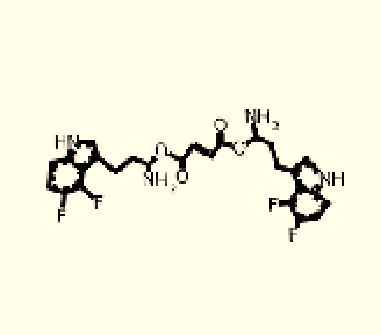 NC(CCc1c[nH]c2ccc(F)c(F)c12)OC(=O)/C=C/C(=O)OC(N)CCc1c[nH]c2ccc(F)c(F)c12